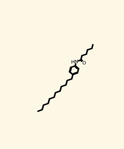 CCCCCCCCCCCCc1ccc(NC(=O)CCCCC)cc1